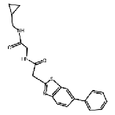 O=C(CNC(=O)Cc1nc2ccc(-c3ccccc3)cc2s1)NCC1CC1